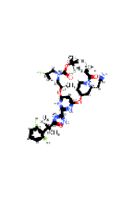 C=CC(=O)N1CC[C@H](Oc2cc(O[C@@H](C)[C@@H]3C[C@@H](F)CN3C(=O)OC(C)(C)C)nc(-c3noc(C(C)(C)c4c(F)cccc4F)n3)n2)C[C@H]1CC#N